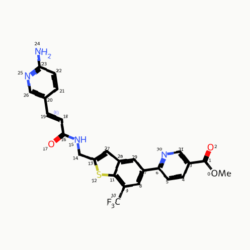 COC(=O)c1ccc(-c2cc(C(F)(F)F)c3sc(CNC(=O)/C=C/c4ccc(N)nc4)cc3c2)nc1